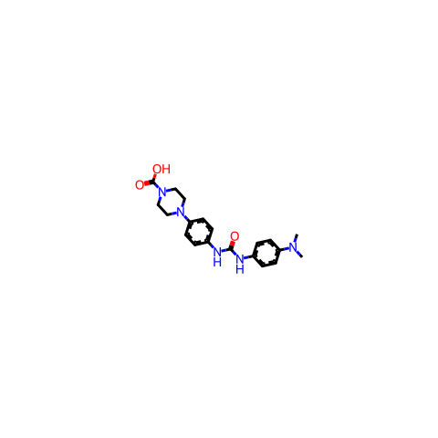 CN(C)c1ccc(NC(=O)Nc2ccc(N3CCN(C(=O)O)CC3)cc2)cc1